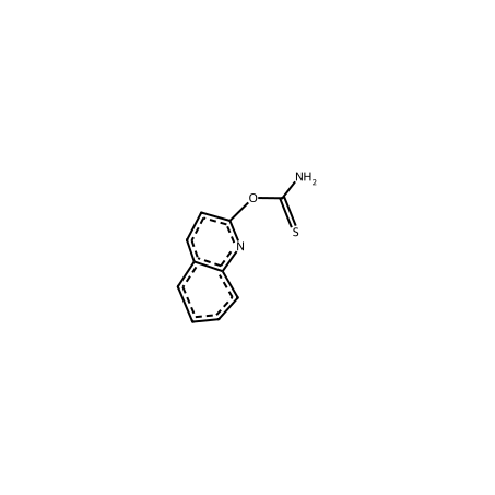 NC(=S)Oc1ccc2ccccc2n1